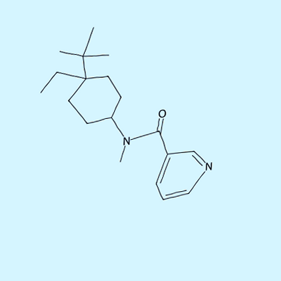 CCC1(C(C)(C)C)CCC(N(C)C(=O)c2cccnc2)CC1